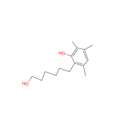 Cc1cc(C)c(CCCCCCO)c(O)c1C